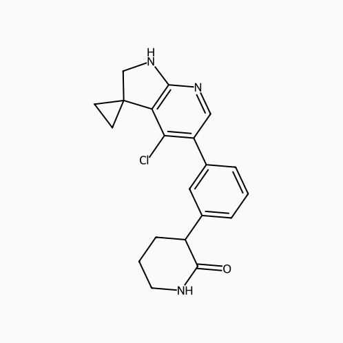 O=C1NCCCC1c1cccc(-c2cnc3c(c2Cl)C2(CC2)CN3)c1